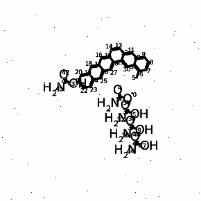 COC(N)=O.Cc1cccc2cc3ccc4cc5cc6ccccc6cc5cc4c3cc12.NC(=O)O.NC(=O)O.NC(=O)O.NC(=O)O